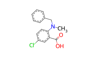 CN(Cc1ccccc1)c1ccc(Cl)cc1C(=O)O